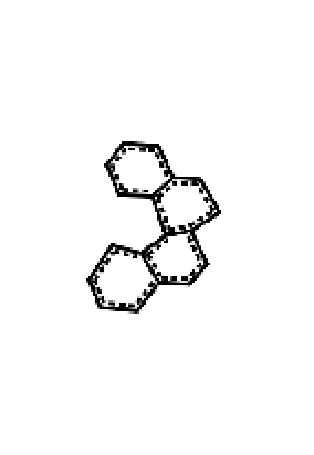 [c]1cc2ccccc2c2c1ccc1ccccc12